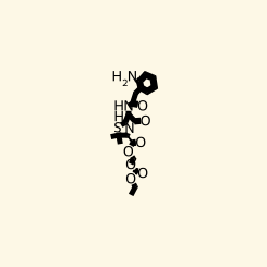 CCOC(=O)OCOC(=O)[C@@H]1N2C(=O)C(NC(=O)Cc3ccccc3N)[C@H]2SC1(C)C